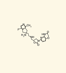 Cc1ncc(F)c2c1CC(N)(CCNCC1CN(c3ccc4c(n3)NC(=O)CO4)C(=O)O1)C2